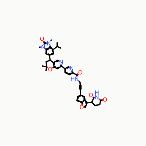 CC(C)c1cc(C2CC(C)(C)Oc3cc(-c4ccc(C(=O)NCC#Cc5ccc6occ(C7CCC(=O)NC7=O)c6c5)nc4)ncc32)cc2c1n(C)c(=O)n2C